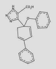 O=C(O)c1[nH]nnc1C1(Oc2ccccc2)C=CC(c2ccccc2)=CC1